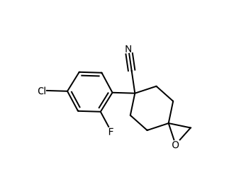 N#CC1(c2ccc(Cl)cc2F)CCC2(CC1)CO2